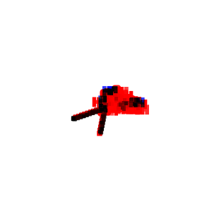 CCCCCCCCCCCCC/C=C/[C@@H](O)[C@H](CO[C@@H]1OC(CO)[C@@H](O[C@@H]2OC(CO)[C@H](O)[C@H](O[C@@H]3OC(CO)[C@@H](O[C@@H]4OC(CO)[C@H](O)[C@H](O[C@]5(C(=O)O)CC(O)[C@@H](NC(=O)CO)C([C@H](O)[C@@H](CO)O[C@]6(C(=O)O)CC(O)[C@@H](NC(C)=O)C([C@H](O)[C@H](O)CO)O6)O5)C4O)[C@H](O)C3NC(C)=O)C2O)[C@H](O)C1O)NC(=O)CCCCCCCCCCCCCCCCCCC